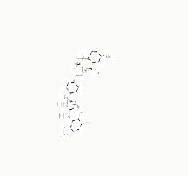 CCc1c(C)cc2c(c1NC(=O)NS(=O)(=O)c1ccc(CCN3C(=O)c4cc(OC)ccc4C(C)(C)C3=O)cc1)CCC2